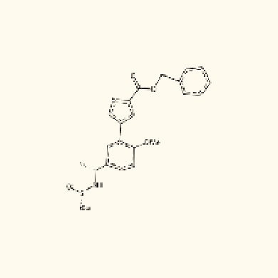 COc1ccc([C@@H](C)N[S@@+]([O-])C(C)(C)C)cc1-c1csc(C(=O)OCc2ccccc2)c1